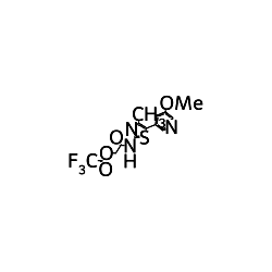 COc1cncc(-c2sc(NC(=O)COC(=O)C(F)(F)F)nc2C)c1